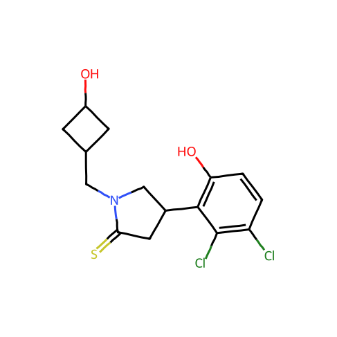 Oc1ccc(Cl)c(Cl)c1C1CC(=S)N(CC2CC(O)C2)C1